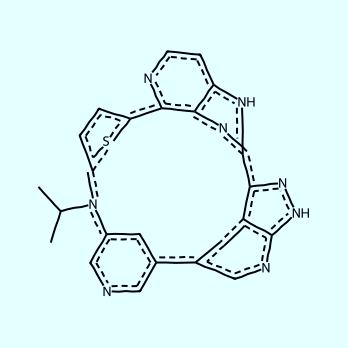 CC(C)n1c2cncc(c2)c2cnc3[nH]nc(c4nc5c(ccnc5c5ccc1s5)[nH]4)c3c2